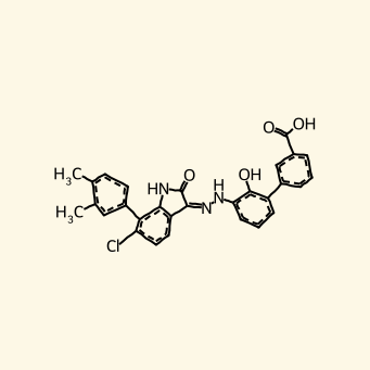 Cc1ccc(-c2c(Cl)ccc3c2NC(=O)C3=NNc2cccc(-c3cccc(C(=O)O)c3)c2O)cc1C